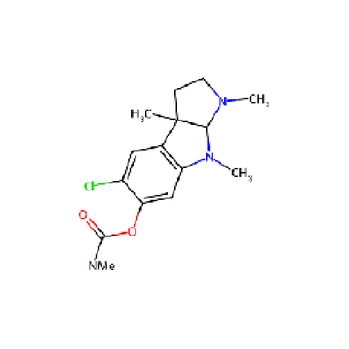 CNC(=O)Oc1cc2c(cc1Cl)C1(C)CCN(C)C1N2C